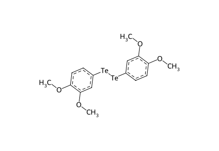 COc1ccc([Te][Te]c2ccc(OC)c(OC)c2)cc1OC